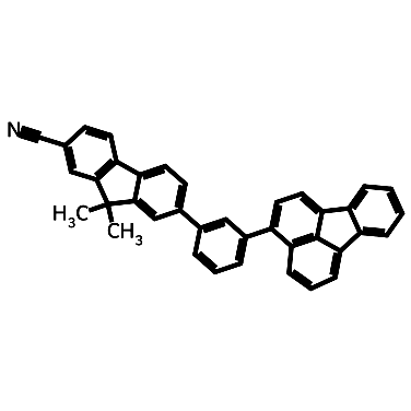 CC1(C)c2cc(C#N)ccc2-c2ccc(-c3cccc(-c4ccc5c6c(cccc46)-c4ccccc4-5)c3)cc21